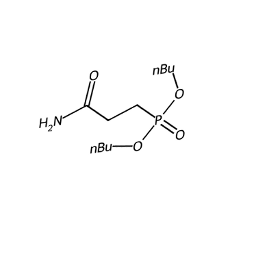 CCCCOP(=O)(CCC(N)=O)OCCCC